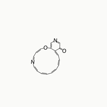 O=C1C=NC=C2OC=CC=NC=CC=CC=CC=CC=C12